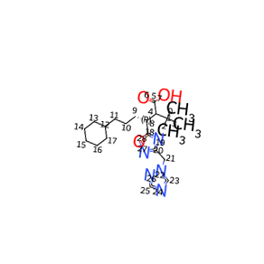 CC(C)(C)C(C(=O)O)[C@@H](CCCC1CCCCC1)c1nc(Cn2cncn2)no1